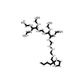 CCCCC1(CSCSSCSC(SCS)C(SCS)SCSC(SCS)C(SCS)SCS)SCCS1